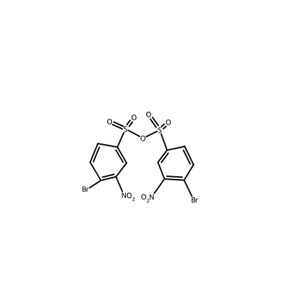 O=[N+]([O-])c1cc(S(=O)(=O)OS(=O)(=O)c2ccc(Br)c([N+](=O)[O-])c2)ccc1Br